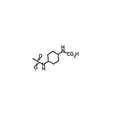 CS(=O)(=O)NC1CCC(NC(=O)O)CC1